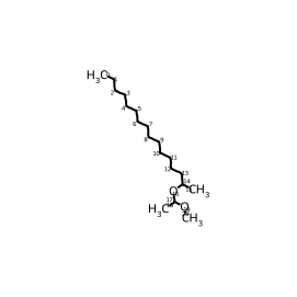 CCCCCCCCCCCCCCC(C)OC(C)OC